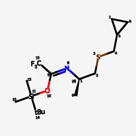 C[C@H](CSCC1CC1)N=C(O[Si](C)(C)C(C)(C)C)C(F)(F)F